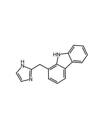 c1ccc2c(c1)[nH]c1c(Cc3ncc[nH]3)cccc12